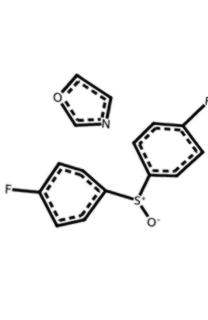 [O-][S+](c1ccc(F)cc1)c1ccc(F)cc1.c1cocn1